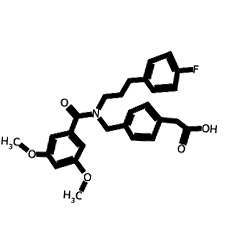 COc1cc(OC)cc(C(=O)N(CCCc2ccc(F)cc2)Cc2ccc(CC(=O)O)cc2)c1